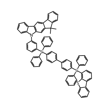 CC1(C)c2ccccc2-c2cc3c4ccccc4n(-c4cccc([Si](c5ccccc5)(c5ccccc5)c5ccc(-c6ccc([Si](c7ccccc7)(c7ccccc7)c7cccc8c7sc7ccccc78)cc6)cc5)c4)c3cc21